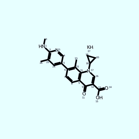 CNc1ncc(-c2ccc3c(=O)c(C(=O)O)cn(C4CC4)c3c2C)cc1C.[KH]